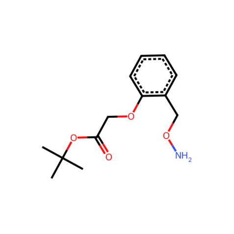 CC(C)(C)OC(=O)COc1ccccc1CON